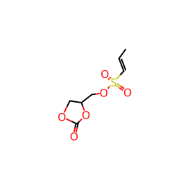 CC=CS(=O)(=O)OCC1COC(=O)O1